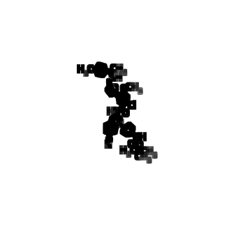 COc1cc(Cl)c(C(=O)NC(CN[C@H]2CC[C@H](NC(=O)OC(C)(C)C)CC2)Cc2ccc(C#N)cc2)cc1-c1ccc(CNC(C)c2ccc(C)cc2)o1